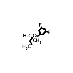 CCCC(C)(C)OCc1cc(F)cc(F)c1